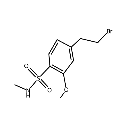 CNS(=O)(=O)c1ccc(CCBr)cc1OC